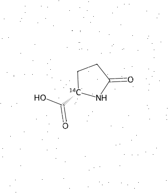 O=C1CC[14C@@H](C(=O)O)N1